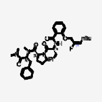 CCCC/C=C(/F)COc1ccccc1C(=O)N[C@H](CC(C)C)C(=O)N1CCC[C@@H]1C(=O)N(C)[C@@H](Cc1ccccc1)C(=O)N(C)C